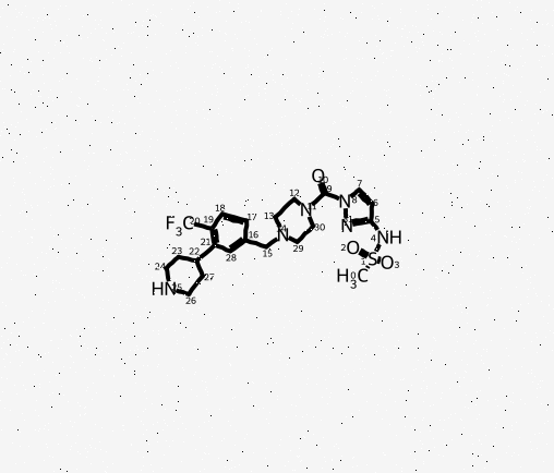 CS(=O)(=O)Nc1ccn(C(=O)N2CCN(Cc3ccc(C(F)(F)F)c(C4CCNCC4)c3)CC2)n1